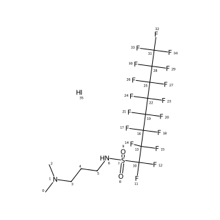 CN(C)CCCNS(=O)(=O)C(F)(F)C(F)(F)C(F)(F)C(F)(F)C(F)(F)C(F)(F)C(F)(F)C(F)(F)F.I